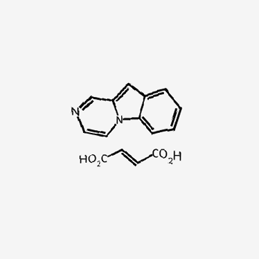 O=C(O)C=CC(=O)O.c1ccc2c(c1)cc1cnccn12